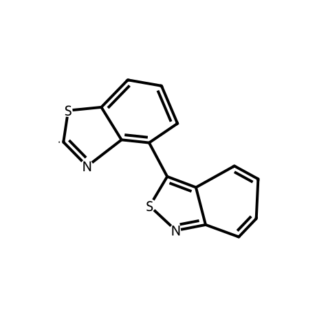 [c]1nc2c(-c3snc4ccccc34)cccc2s1